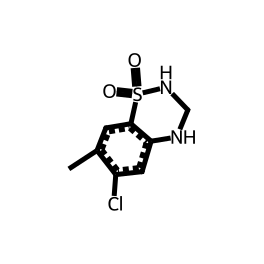 Cc1cc2c(cc1Cl)NCNS2(=O)=O